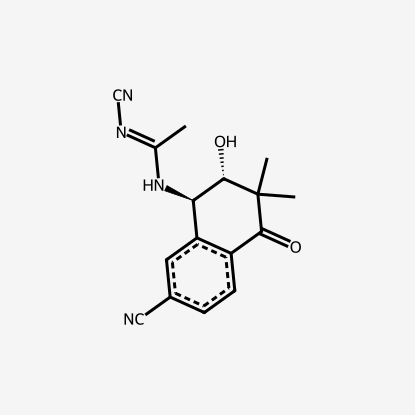 C/C(=N\C#N)N[C@@H]1c2cc(C#N)ccc2C(=O)C(C)(C)[C@H]1O